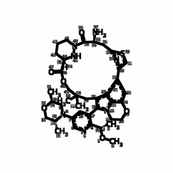 CO[C@@H](C)c1ncc(N2C[C@H](C)OC[C@H]2C)cc1-c1c2c3cc(cc4c3n1CCO4)-c1csc(n1)C[C@H](N)C(=O)N1CCC[C@H](N1)C(=O)OCC(C)(C)C2